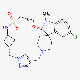 CCS(=O)(=O)N[C@H]1C[C@H](Cn2cc(CN3CCC4(CC3)C(=O)N(C)c3ccc(Cl)cc34)cn2)C1